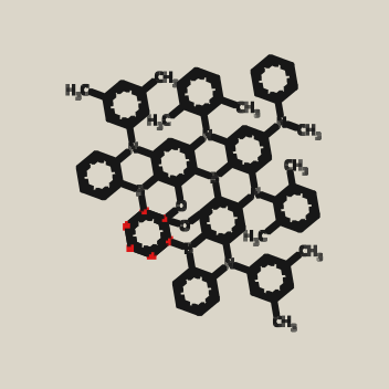 Cc1cc(C)cc(N2c3ccccc3B3c4ccccc4Oc4c3c2cc2c4B3c4c(cc(N(C)c5ccccc5)cc4N(c4c(C)cccc4C)c4cc5c6c(c43)Oc3ccccc3B6c3ccccc3N5c3cc(C)cc(C)c3)N2c2c(C)cccc2C)c1